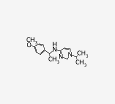 COc1ccc(C(C)NC2=NCN(C(C)C)C=C2)cc1